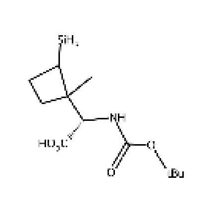 CC(C)(C)OC(=O)N[C@H](C(=O)O)C1(C)CCC1[SiH3]